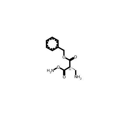 NC[C@H](C(=O)ON)C(=O)OCc1ccccc1